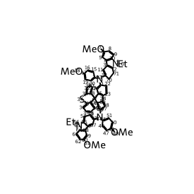 CCn1c2c(c3cc(OC)ccc31)C=C(N(c1ccc(OC)cc1)c1ccc3c(c1)C1(c4ccccc4Sc4ccccc41)c1cc(N(c4ccc(OC)cc4)c4ccc5c(c4)c4cc(OC)ccc4n5CC)ccc1-3)CC2